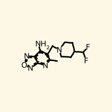 Cc1nc2nonc2c(N)c1CN1CCC(C(F)F)CC1